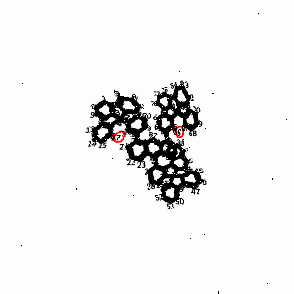 c1ccc(C2(c3ccccc3)c3ccccc3Oc3c(-c4cccc5c(-c6cccc7c6-c6c(ccc8ccccc68)C76c7ccccc7-c7ccccc76)c6cccc(-c7cccc8c7Oc7ccccc7C8(c7ccccc7)c7ccccc7)c6cc45)cccc32)cc1